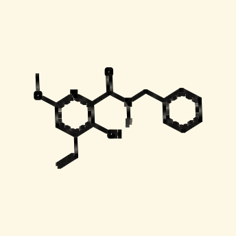 C=Cc1cc(OC)nc(C(=O)N(F)Cc2ccccc2)c1O